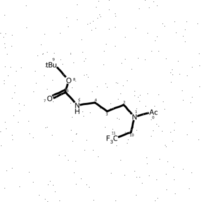 CC(=O)N(CCCNC(=O)OC(C)(C)C)CC(F)(F)F